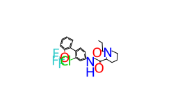 CCC(=O)N1CCCCC1C(=O)CNc1ccc(-c2ccccc2OC(F)(F)F)c(Cl)c1